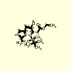 CCOC(=O)C[C@H](O[Si](C)(C)C(C)(C)C)/C(Cl)=C\c1csc(C)n1